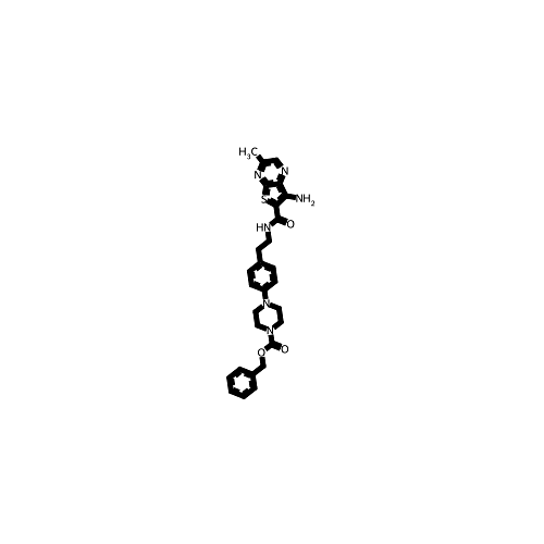 Cc1cnc2c(N)c(C(=O)NCCc3ccc(N4CCN(C(=O)OCc5ccccc5)CC4)cc3)sc2n1